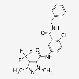 Cc1nn(C)c(C(=O)Nc2ccc(Cl)c(C(=O)NCc3ccccc3)c2)c1C(F)(F)F